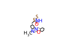 CN1CC(=O)N(Cc2ccccc2)c2cc(C=C3SC(=S)NC3=O)ccc21